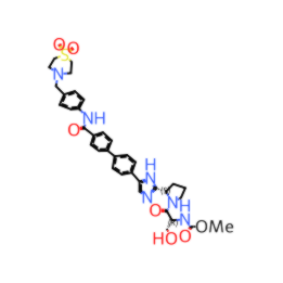 COC(=O)N[C@H](CO)C(=O)N1CCC[C@H]1c1ncc(-c2ccc(-c3ccc(C(=O)Nc4ccc(CN5CCS(=O)(=O)CC5)cc4)cc3)cc2)[nH]1